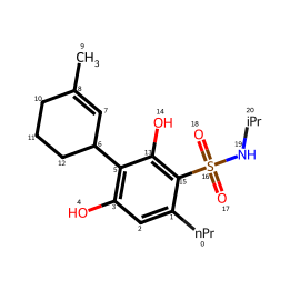 CCCc1cc(O)c(C2C=C(C)CCC2)c(O)c1S(=O)(=O)NC(C)C